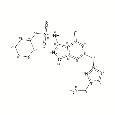 Cc1cc(Cn2ccc(CN)n2)cc2onc(NS(=O)(=O)CC3CCCCC3)c12